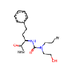 CNC(=O)C(CCc1ccccc1)NC(=O)N(CCO)CCC(C)C